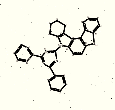 c1ccc(-c2nc(-c3ccccc3)nc(-n3c4c(c5c6c(ccc53)sc3ccccc36)CCCC4)n2)cc1